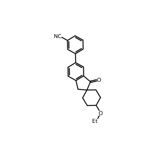 CCOC1CCC2(CC1)Cc1ccc(-c3cccc(C#N)c3)cc1C2=O